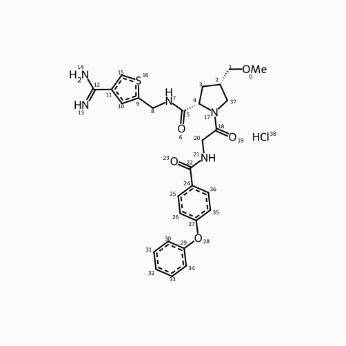 COC[C@H]1C[C@@H](C(=O)NCc2cc(C(=N)N)cs2)N(C(=O)CNC(=O)c2ccc(Oc3ccccc3)cc2)C1.Cl